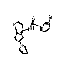 O=C(Nc1ccnc2ccc(-n3c[c]cc3)cc12)c1cccc(Br)c1